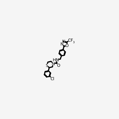 O=C(NCc1ccc(-c2nnc(C(F)(F)F)o2)cc1)N1CCSC(c2cccc(Cl)c2)C1